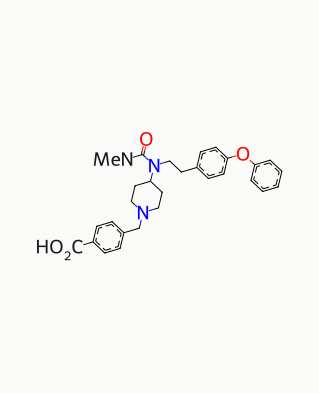 CNC(=O)N(CCc1ccc(Oc2ccccc2)cc1)C1CCN(Cc2ccc(C(=O)O)cc2)CC1